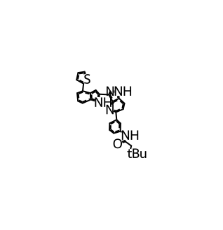 CC(C)(C)CC(=O)Nc1cccc(-c2ccc3[nH]nc(-c4cc5c(-c6cccs6)cccc5[nH]4)c3n2)c1